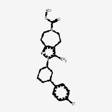 Cc1c2c(nn1C1CCCC(c3ccc(Cl)cc3)C1)CCN(C(=O)OC(C)(C)C)CC2